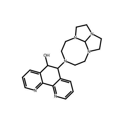 OC1c2cccnc2-c2ncccc2C1N1CCN2CCN3CCN(CC1)C23